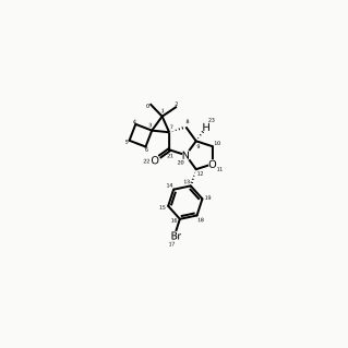 CC1(C)C2(CCC2)[C@@]12C[C@H]1CO[C@H](c3ccc(Br)cc3)N1C2=O